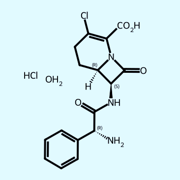 Cl.N[C@@H](C(=O)N[C@@H]1C(=O)N2C(C(=O)O)=C(Cl)CC[C@H]12)c1ccccc1.O